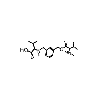 CNC(C(=O)OCc1cccc(CN(C)C(C(=O)O)C(C)C)c1)C(C)C